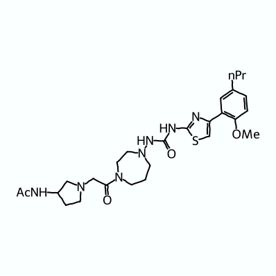 CCCc1ccc(OC)c(-c2csc(NC(=O)NN3CCCN(C(=O)CN4CCC(NC(C)=O)C4)CC3)n2)c1